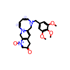 COc1cc(CN2/C=C\C=C/N3CC4=C(C=C3C2)CC(=O)C=[N+]4[O-])cc(OC)c1OC